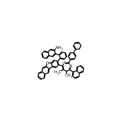 CC1=C(c2cc3c(cc2-c2ccccc2-c2cc4ccccc4cc2N)oc2cc4ccccc4cc23)N=C(c2ccc(C3=CC=CCC3)cc2)N=C(c2cccc3ccccc23)C1C